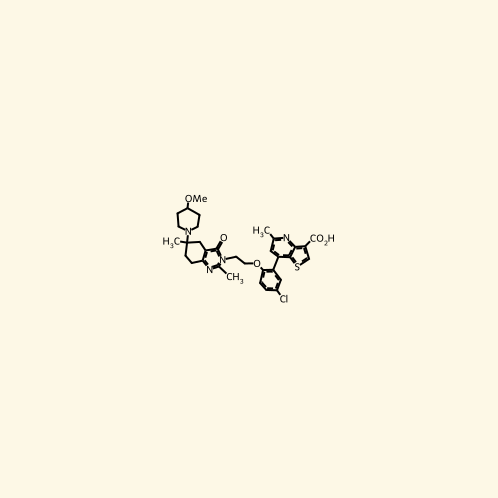 COC1CCN(C2(C)CCc3nc(C)n(CCOc4ccc(Cl)cc4-c4cc(C)nc5c(C(=O)O)csc45)c(=O)c3C2)CC1